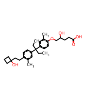 CCC(CC)(c1ccc(CCC2(O)CCC2)c(C)c1)c1ccc(OCC(O)CCC(=O)O)c(C)c1